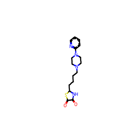 O=C1NC(CCCCN2CCN(c3ccccn3)CC2)SC1=O